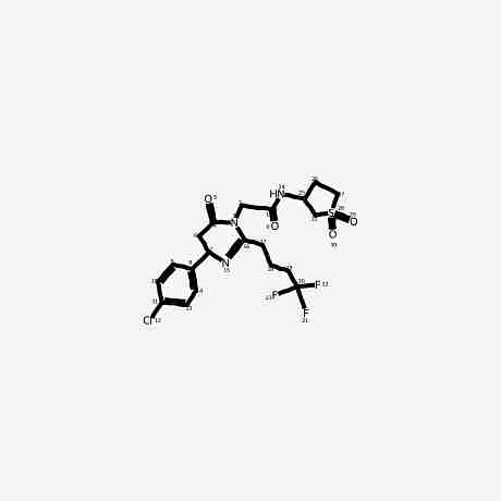 O=C(CN1C(=O)CC(c2ccc(Cl)cc2)N=C1CCCC(F)(F)F)NC1CCS(=O)(=O)C1